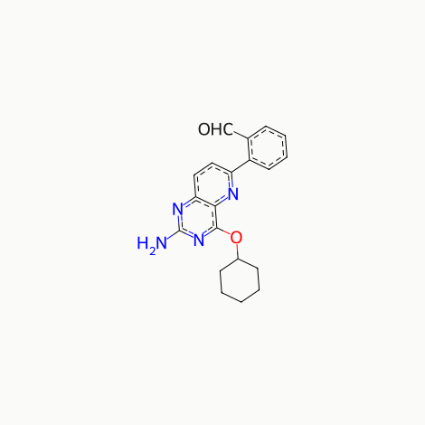 Nc1nc(OC2CCCCC2)c2nc(-c3ccccc3C=O)ccc2n1